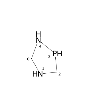 C1NCPN1